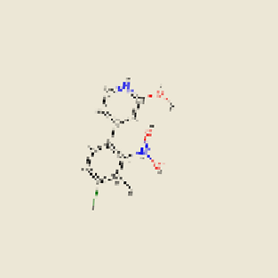 COc1cc(-c2ccc(F)c(C)c2[N+](=O)[O-])ccn1